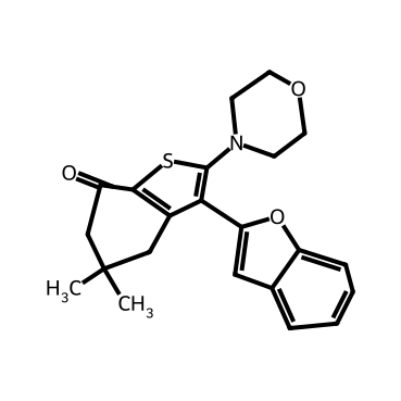 CC1(C)CC(=O)c2sc(N3CCOCC3)c(-c3cc4ccccc4o3)c2C1